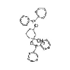 CC1(OP(c2ccccc2)c2ccccc2)CCCC(OP(c2ccccc2)c2ccccc2)C1